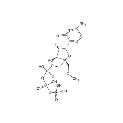 COC[C@]1(COP(=O)(O)OP(=O)(O)OP(=O)(O)O)O[C@@H](n2ccc(N)nc2=O)[C@H](F)[C@@H]1O